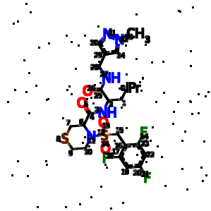 CC(C)CC(NC(=O)C1CSCCN1S(=O)(=O)Cc1c(F)cc(F)cc1F)C(=O)NCc1cnn(C)c1